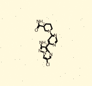 NC(=O)C1CCCN(c2cc(-c3c(N)nn4cc(Cl)cnc34)ncn2)C1